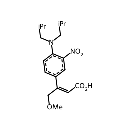 COC/C(=C/C(=O)O)c1ccc(N(CC(C)C)CC(C)C)c([N+](=O)[O-])c1